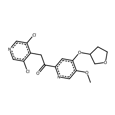 COc1cnc(C(=O)Cc2c(Cl)cncc2Cl)cc1OC1CCOC1